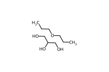 CCCOCCC.OCC(O)CO